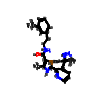 CCC(N)(c1cccnc1-c1nc(C(F)(F)F)c(C(=O)NCCc2cccc(C(F)(F)F)c2)s1)C(C)C